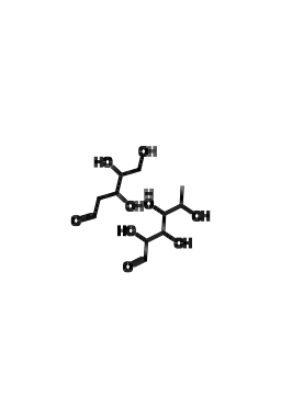 CC(O)C(O)C(O)C(O)C=O.O=CCC(O)C(O)CO